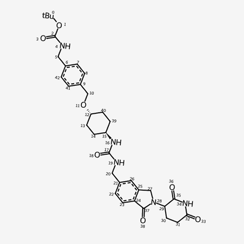 CC(C)(C)OC(=O)NCc1ccc(CO[C@H]2CC[C@H](NC(=O)NCc3ccc4c(c3)CN(C3CCC(=O)NC3=O)C4=O)CC2)cc1